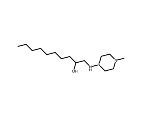 CCCCCCCCC(O)CNN1CCN(C)CC1